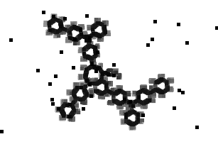 C=C1/C=C(c2ccc(N(c3ccccc3)c3ccc(-c4ccccc4)cc3)cc2)\C=C/N(c2ccc(-c3ccccc3)cc2)c2ccc(-c3ccc(N(c4ccccc4)c4ccc(-c5ccccc5)cc4)cc3)cc21